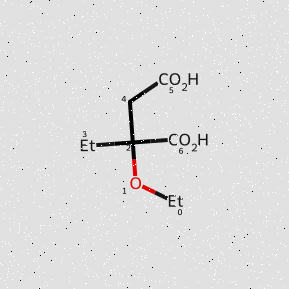 CCOC(CC)(CC(=O)O)C(=O)O